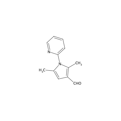 Cc1cc(C=O)c(C)n1-c1ccccn1